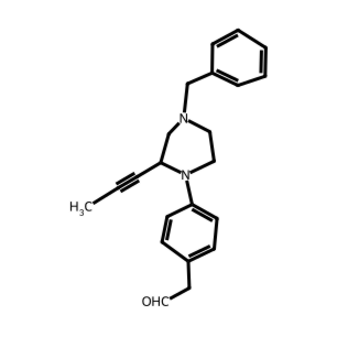 CC#CC1CN(Cc2ccccc2)CCN1c1ccc(CC=O)cc1